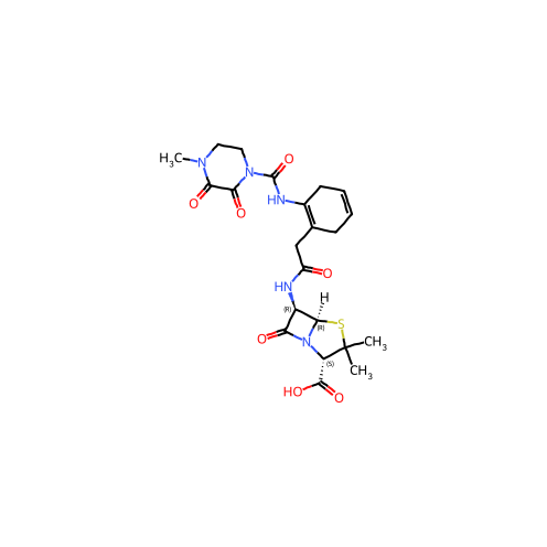 CN1CCN(C(=O)NC2=C(CC(=O)N[C@@H]3C(=O)N4[C@@H]3SC(C)(C)[C@@H]4C(=O)O)CC=CC2)C(=O)C1=O